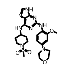 COc1cc(N2CCOCC2)ccc1Nc1nc(NC2CCN(S(C)(=O)=O)CC2)c2nc[nH]c2n1